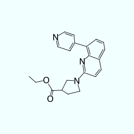 CCOC(=O)C1CCN(c2ccc3cccc(-c4ccncc4)c3n2)C1